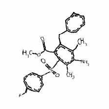 COC(=O)c1c(Cc2ccccc2)c(C)c(N)c(C)c1S(=O)(=O)c1ccc(F)cc1